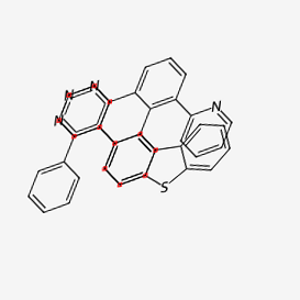 c1ccc(-c2ccc3sc4ccccc4c3c2-c2c(-c3ccccn3)cccc2-c2nnnc(-c3ccccc3)c2-c2ccccc2)cc1